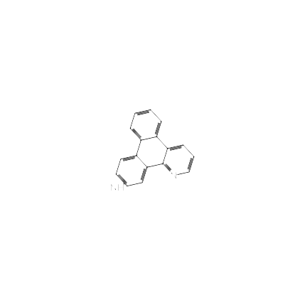 N.c1ccc2c(c1)c1ccccc1c1ncccc21